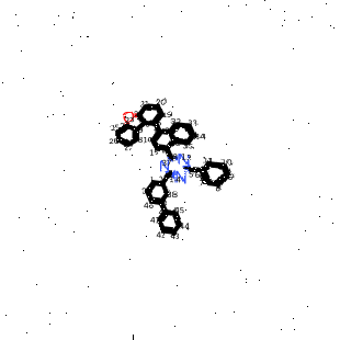 C1=CC(c2nc(-c3ccccc3)nc(-c3ccc(C4=CC=CC5Oc6ccccc6C45)c4ccccc34)n2)CC(c2ccccc2)=C1